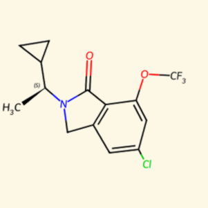 C[C@@H](C1CC1)N1Cc2cc(Cl)cc(OC(F)(F)F)c2C1=O